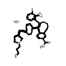 Cl.O=C(O)c1ccc2c(c1)CCCC(c1cccc(F)c1Cl)=C2c1ccc(CC2CCN(CCCF)C2)cc1